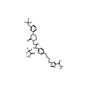 CNC(=O)c1cn(CCCCc2ccc(NC(=O)CN3CCN(c4cccc(OC(F)(F)F)c4)CC3=O)nn2)nn1.O=C(O)C(F)(F)F